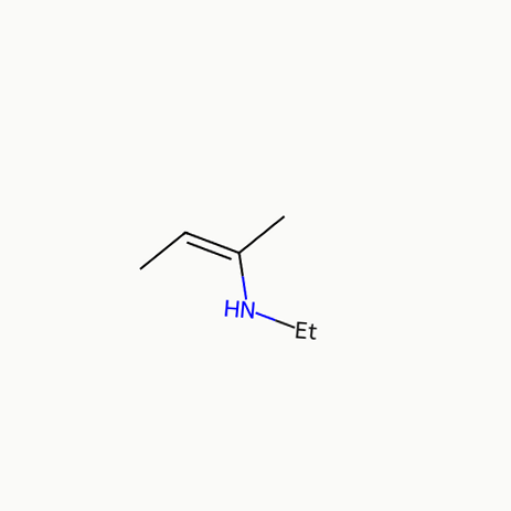 C/C=C(/C)NCC